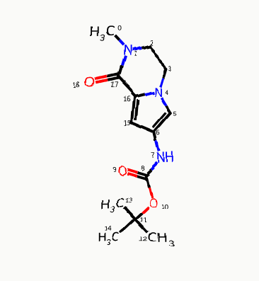 CN1CCn2cc(NC(=O)OC(C)(C)C)cc2C1=O